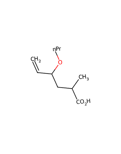 C=CC(CC(C)C(=O)O)OCCC